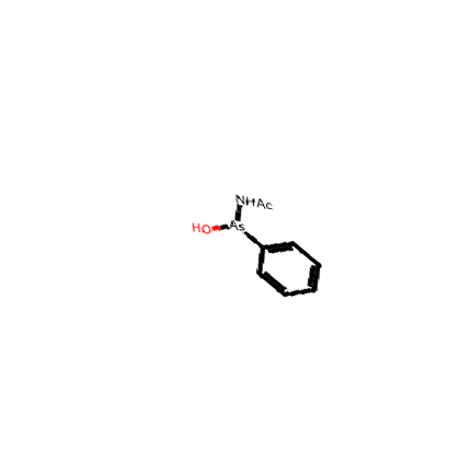 CC(=O)N[As](O)c1ccccc1